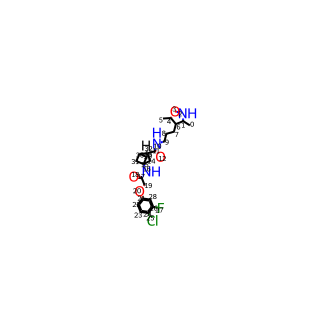 CC1NOC(C)C1CCCNC(=O)[C@H]1CC2(NC(=O)COc3ccc(Cl)c(F)c3)CC1C2